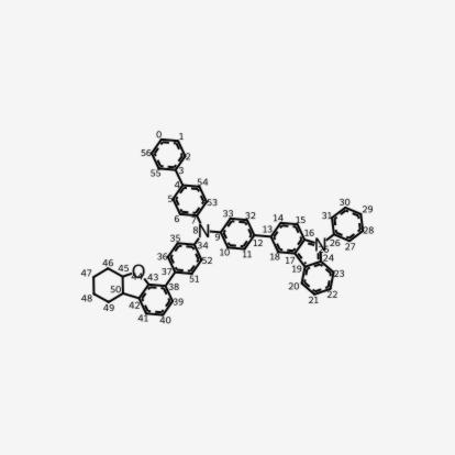 c1ccc(-c2ccc(N(c3ccc(-c4ccc5c(c4)c4ccccc4n5-c4ccccc4)cc3)c3ccc(-c4cccc5c4OC4CCCCC54)cc3)cc2)cc1